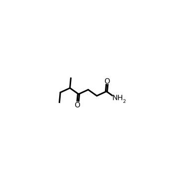 CCC(C)C(=O)CCC(N)=O